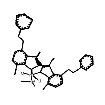 CC1=C(C)[CH]([Zr]([Cl])([Cl])([CH]2C(C)=C(C)c3c(CCc4ccccc4)ccc(C)c32)[SiH](C)C)c2c(C)ccc(CCc3ccccc3)c21